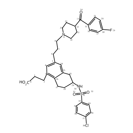 O=C(O)CCc1cc(CCCN2CCC(C(=O)c3ccc(F)cc3)CC2)cc2c1CCC(NS(=O)(=O)c1ccc(Cl)cc1)C2